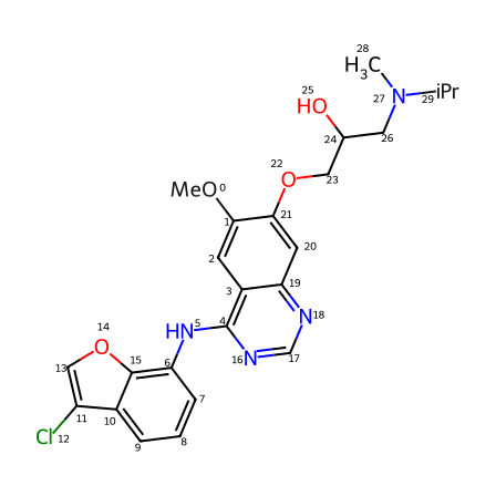 COc1cc2c(Nc3cccc4c(Cl)coc34)ncnc2cc1OCC(O)CN(C)C(C)C